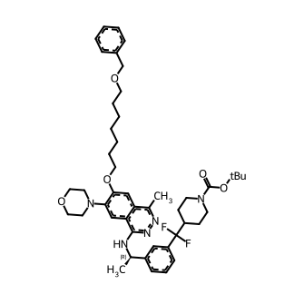 Cc1nnc(N[C@H](C)c2cccc(C(F)(F)C3CCN(C(=O)OC(C)(C)C)CC3)c2)c2cc(N3CCOCC3)c(OCCCCCCCOCc3ccccc3)cc12